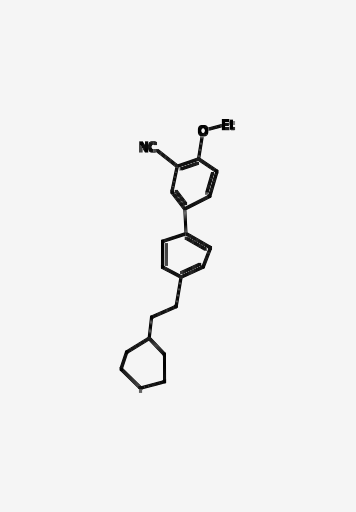 CCOc1ccc(-c2ccc(CCC3CC[CH]CC3)cc2)cc1C#N